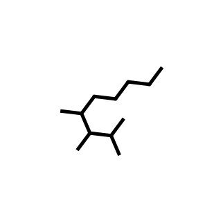 CCCCCC(C)C(C)C(C)C